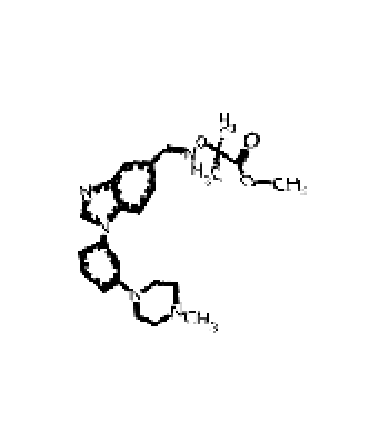 COC(=O)C(C)(C)ON=Cc1ccc2c(c1)ncn2-c1cccc(N2CCN(C)CC2)c1